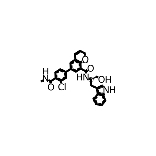 CNC(=O)c1ccc(-c2cc3c(c(C(=O)N[C@@H](CO)Cc4c[nH]c5ccccc45)c2)OCC=C3)cc1Cl